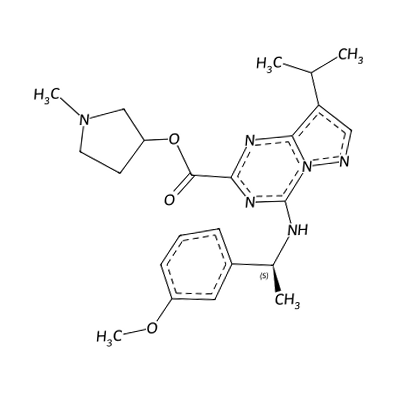 COc1cccc([C@H](C)Nc2nc(C(=O)OC3CCN(C)C3)nc3c(C(C)C)cnn23)c1